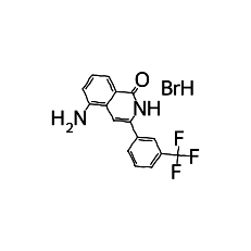 Br.Nc1cccc2c(=O)[nH]c(-c3cccc(C(F)(F)F)c3)cc12